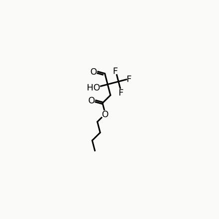 CCCCOC(=O)CC(O)(C=O)C(F)(F)F